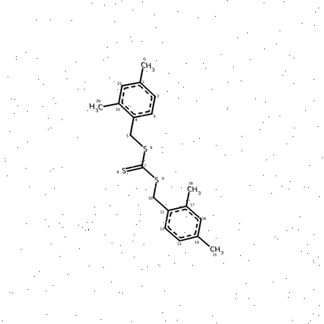 Cc1ccc(CSC(=S)SCc2ccc(C)cc2C)c(C)c1